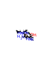 C=C(/C=C(/NCC1CC1)c1sc(-c2ccn[nH]2)cc1N)NCCO